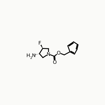 N[C@H]1CN(C(=O)OCc2ccccc2)C[C@@H]1F